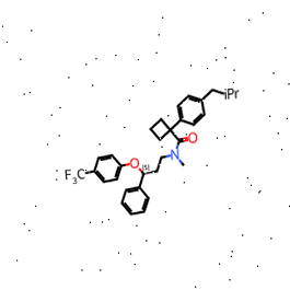 CC(C)Cc1ccc(C2(C(=O)N(C)CC[C@H](Oc3ccc(C(F)(F)F)cc3)c3ccccc3)CCC2)cc1